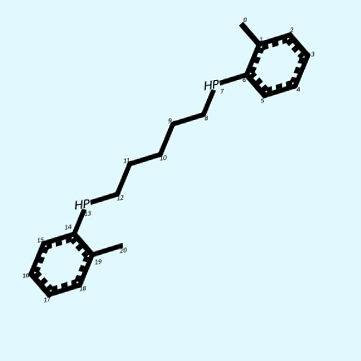 Cc1ccccc1PCCCCCPc1ccccc1C